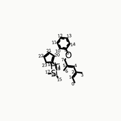 CC=C(C)C=C(C)COc1ccccc1.C[SiH](C)[Ti][C]1=CC=CC1